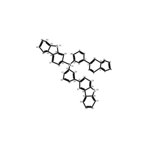 c1cc(-c2ccc3ccccc3c2)cc(N(c2cccc(-c3ccc4sc5ccccc5c4c3)c2)c2ccc3c(c2)sc2ccccc23)c1